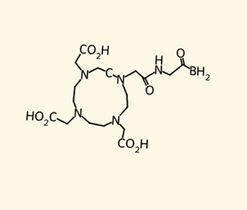 BC(=O)CNC(=O)CN1CCN(CC(=O)O)CCN(CC(=O)O)CCN(CC(=O)O)CC1